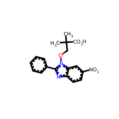 CC(C)(COn1c(-c2ccccc2)nc2ccc([N+](=O)[O-])cc21)C(=O)O